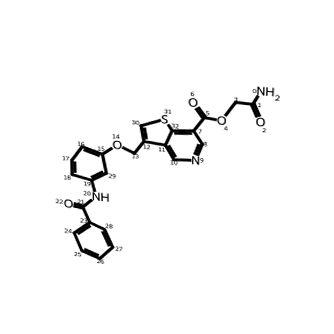 NC(=O)COC(=O)c1cncc2c(COc3cccc(NC(=O)c4ccccc4)c3)csc12